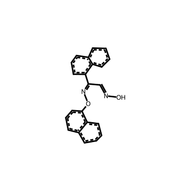 ON=CC(=NOc1cccc2ccccc12)c1cccc2ccccc12